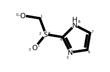 [O]C[S+]([O-])c1ncc[nH]1